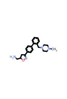 CN1CCN(Cc2ccccc2-c2ccc(C3=NOC(CN)C3)cc2)CC1